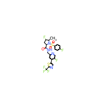 CC1C(F)CC(C(=O)NCc2cc(-c3cnc(C(F)(F)F)s3)c(F)cn2)N1S(=O)(=O)c1ccc(F)cc1